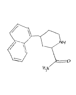 NC(=O)C1CC(c2cccc3ccccc23)CCN1